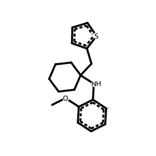 COc1ccc[c]c1NC1(Cc2cccs2)CCCCC1